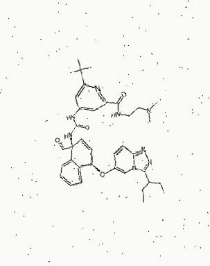 CCC(CC)c1nnc2ccc(O[C@@H]3C=C[C@](C=O)(NC(=O)Nc4cc(C(=O)NCCN(C)C)nc(C(C)(C)C)c4)c4ccccc43)cn12